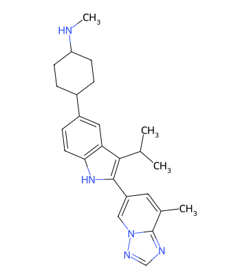 CNC1CCC(c2ccc3[nH]c(-c4cc(C)c5ncnn5c4)c(C(C)C)c3c2)CC1